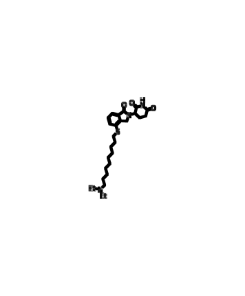 CCN(CC)CCCCCCCCCCSc1cccc2c1CN(C1CCC(=O)NC1=O)C2=O